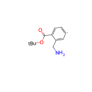 CC(C)(C)OC(=O)c1cc[c]cc1CN